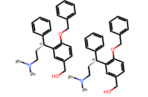 CC(C)N(CC[C@H](c1ccccc1)c1cc(CO)ccc1OCc1ccccc1)C(C)C.CC(C)N(CC[C@H](c1ccccc1)c1cc(CO)ccc1OCc1ccccc1)C(C)C